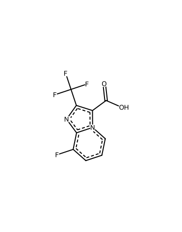 O=C(O)c1c(C(F)(F)F)nc2c(F)cccn12